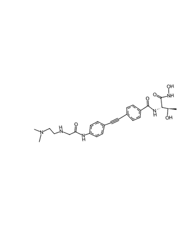 C[C@@H](O)[C@H](NC(=O)c1ccc(C#Cc2ccc(NC(=O)CNCCN(C)C)cc2)cc1)C(=O)NO